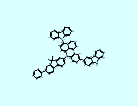 CC1(C)c2cc(-c3ccccc3)ccc2-c2ccc(N(c3ccc(-c4ccc5oc6ccccc6c5c4)cc3)c3ccc(-n4c5ccccc5c5ccccc54)c4ccccc34)cc21